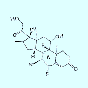 C[C@@H]1C[C@H]2[C@@H]3[C@H](Br)[C@@H](F)C4=CC(=O)CC[C@]4(C)[C@@]3(F)[C@@H](O)C[C@]2(C)[C@@]1(O)C(=O)CO